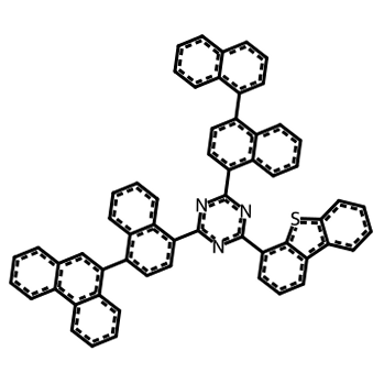 c1ccc2c(-c3ccc(-c4nc(-c5ccc(-c6cc7ccccc7c7ccccc67)c6ccccc56)nc(-c5cccc6c5sc5ccccc56)n4)c4ccccc34)cccc2c1